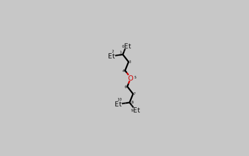 CCC(CC)CCOCCC(CC)CC